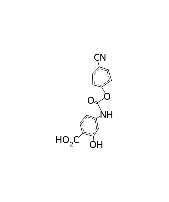 N#Cc1ccc(OC(=O)Nc2ccc(C(=O)O)c(O)c2)cc1